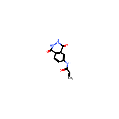 C=CC(=O)Nc1ccc2c(=O)[nH][nH]c(=O)c2c1